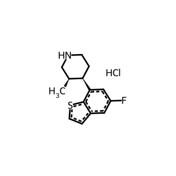 C[C@H]1CNCC[C@H]1c1cc(F)cc2ccsc12.Cl